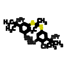 CCCC(C)(C)c1cc(SC(C)(C)Sc2cc(C(C)(C)C)c(C#N)c(C(C)(C)CCC)c2)cc(C(C)(C)C)c1